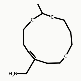 CC1CCC/C=C(/CN)CCCCCCC1